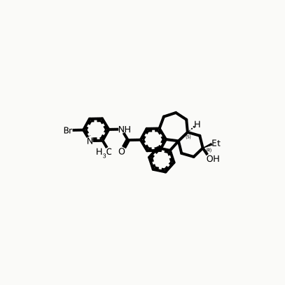 CC[C@@]1(O)CCC2(c3ccccc3)c3ccc(C(=O)Nc4ccc(Br)nc4C)cc3CCC[C@H]2C1